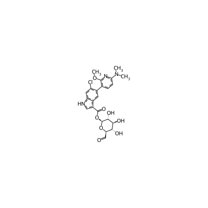 COc1nc(N(C)C)ccc1-c1cc2c(C(=O)O[C@@H]3O[C@H](C=O)[C@@H](O)[C@H](O)[C@H]3O)c[nH]c2cc1Cl